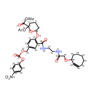 COC(=O)C1(OC(C)=O)CCCC(Oc2ccc(COC(=O)Oc3ccc([N+](=O)[O-])cc3)cc2C(=O)NCCNC(=O)COC2C#CCCCCC2)O1